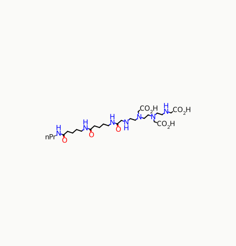 CCCNC(=O)CCCCNC(=O)CCCCNC(=O)CNCCN(CCN(CCNCC(=O)O)CC(=O)O)CC(=O)O